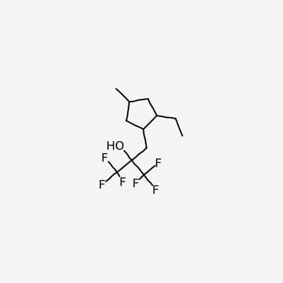 CCC1CC(C)CC1CC(O)(C(F)(F)F)C(F)(F)F